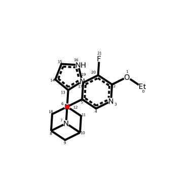 CCOc1ncc(CN2C3CC2CN(c2cc[nH]n2)C3)cc1F